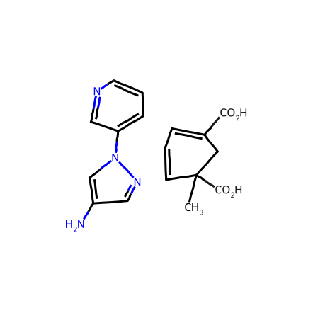 CC1(C(=O)O)C=CC=C(C(=O)O)C1.Nc1cnn(-c2cccnc2)c1